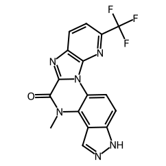 Cn1c(=O)c2nc3ccc(C(F)(F)F)nc3n2c2ccc3[nH]ncc3c21